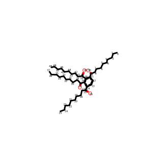 CCCCCCCCCC(=O)c1[c]cc(C(=O)CCCCCCCCC)c(C(=O)CCCCCCCCC)c1C(=O)CCCCCCCCC